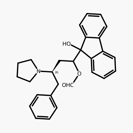 O=COC(C[C@@H](Cc1ccccc1)N1CCCC1)C1(O)c2ccccc2-c2ccccc21